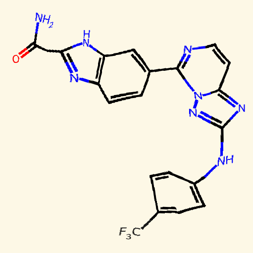 NC(=O)c1nc2ccc(-c3nccc4nc(Nc5ccc(C(F)(F)F)cc5)nn34)cc2[nH]1